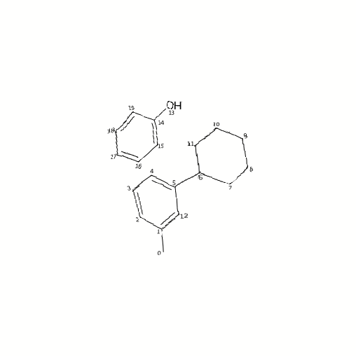 Cc1cccc(C2CCCCC2)c1.Oc1ccccc1